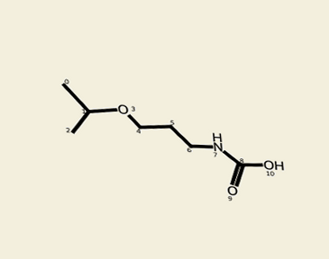 CC(C)OCCCNC(=O)O